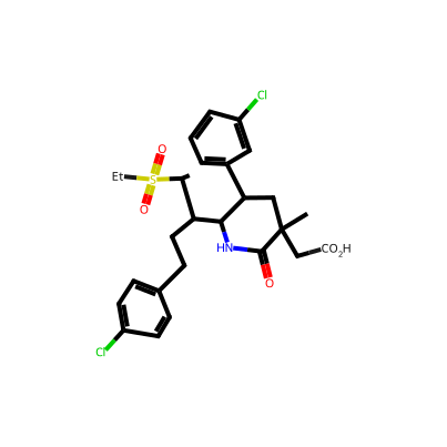 CCS(=O)(=O)C(C)C(CCc1ccc(Cl)cc1)C1NC(=O)C(C)(CC(=O)O)CC1c1cccc(Cl)c1